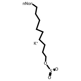 CCCCCCCCCCCCCCCCCCO[S-](=O)=O.[K+]